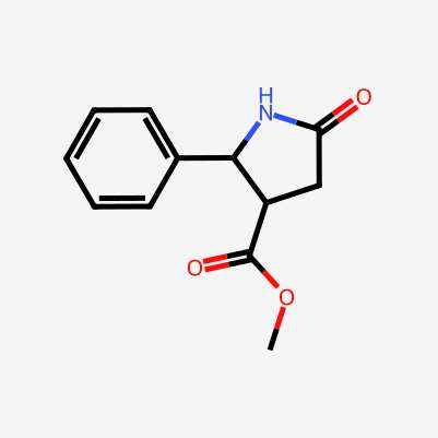 COC(=O)C1CC(=O)NC1c1ccccc1